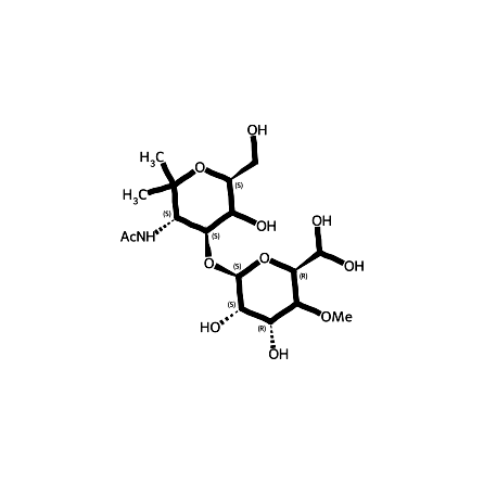 COC1[C@H](C(O)O)O[C@H](O[C@@H]2C(O)[C@H](CO)OC(C)(C)[C@H]2NC(C)=O)[C@@H](O)[C@H]1O